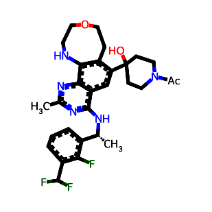 CC(=O)N1CCC(O)(c2cc3c(N[C@H](C)c4cccc(C(F)F)c4F)nc(C)nc3c3c2CCOCCN3)CC1